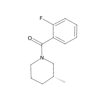 C[C@@H]1CCCN(C(=O)c2ccccc2F)C1